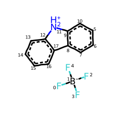 F[B-](F)(F)F.c1ccc2c(c1)[NH2+]c1ccccc1-2